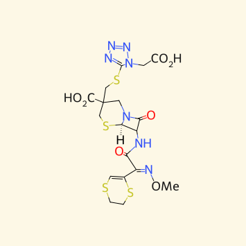 CON=C(C(=O)NC1C(=O)N2CC(CSc3nnnn3CC(=O)O)(C(=O)O)CS[C@H]12)C1=CSCCS1